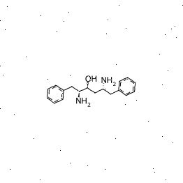 N[C@H](Cc1ccccc1)C[C@H](O)[C@@H](N)Cc1ccccc1